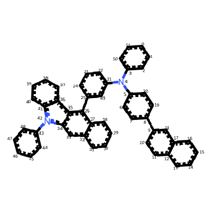 c1ccc(N(c2ccc(-c3ccc4ccccc4c3)cc2)c2cccc(-c3c4ccccc4cc4c3c3ccccc3n4-c3ccccc3)c2)cc1